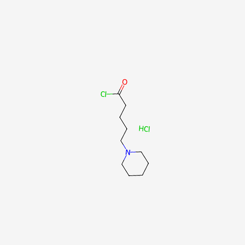 Cl.O=C(Cl)CCCCN1CCCCC1